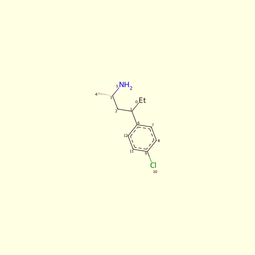 CCC(C[C@H](C)N)c1ccc(Cl)cc1